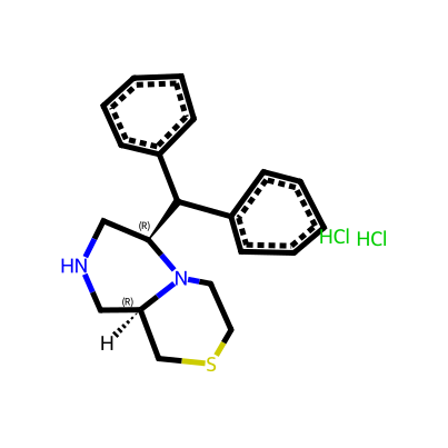 Cl.Cl.c1ccc(C(c2ccccc2)[C@@H]2CNC[C@@H]3CSCCN32)cc1